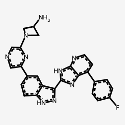 NC1CN(c2cncc(-c3ccc4[nH]nc(-c5nc6c(-c7ccc(F)cc7)ccnc6[nH]5)c4c3)n2)C1